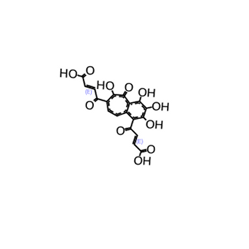 O=C(O)/C=C/C(=O)c1ccc2c(C(=O)/C=C/C(=O)O)c(O)c(O)c(O)c2c(=O)c1O